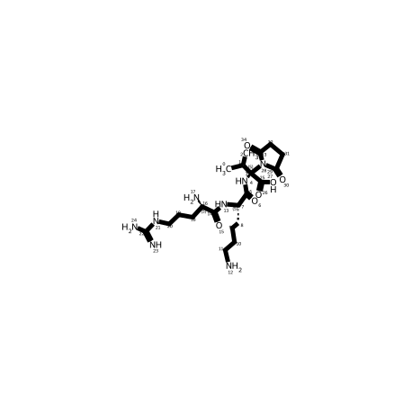 CC(C)[C@@](NC(=O)[C@H](CCCCN)NC(=O)[C@@H](N)CCCNC(=N)N)(C(=O)O)N1C(=O)CCC1=O